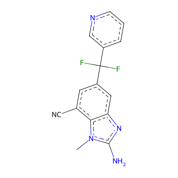 Cn1c(N)nc2cc(C(F)(F)c3cccnc3)cc(C#N)c21